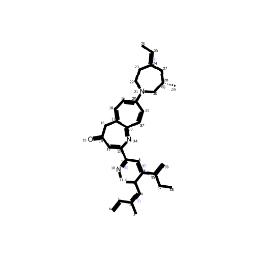 C=C/C(C)=C\C(C)/C(=C\C(=N/C)C1=CC(=O)CC2=CC=C(N3CC/C(=C\C)C[C@H](C)C3)C=CC2=N1)C(=C)CC